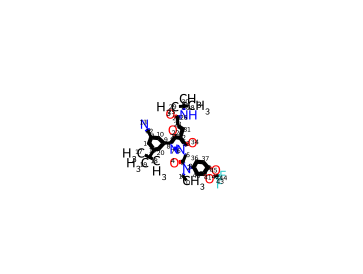 CCN(C(=O)Cn1nc(-c2cc(C#N)cc(C(C)(C)C)c2)c2oc(C(=O)NC(C)(C)C)cc2c1=O)c1ccc2c(c1)OC(F)(F)O2